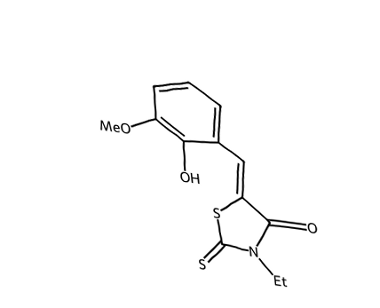 CCN1C(=O)C(=Cc2cccc(OC)c2O)SC1=S